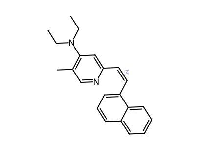 CCN(CC)c1cc(/C=C\c2cccc3ccccc23)ncc1C